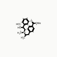 COC(=O)c1ccc(CC(C)N(C)CC(O)c2ccccc2)cc1.Cl